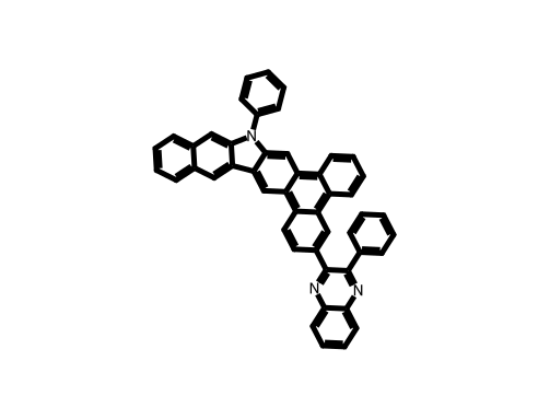 c1ccc(-c2nc3ccccc3nc2-c2ccc3c(c2)c2ccccc2c2cc4c(cc32)c2cc3ccccc3cc2n4-c2ccccc2)cc1